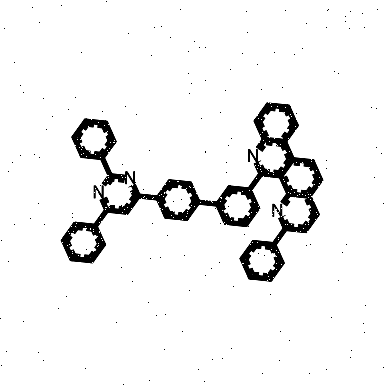 c1ccc(-c2cc(-c3ccc(-c4cccc(-c5nc6ccccc6c6ccc7ccc(-c8ccccc8)nc7c56)c4)cc3)nc(-c3ccccc3)n2)cc1